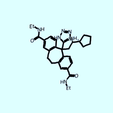 CCNC(=O)c1ccc2c(c1)CCc1cc(C(=O)NCC)ccc1C2(C[C@H](N)C1CCCC1)c1nnn[nH]1